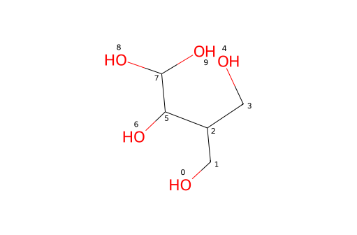 OCC(CO)C(O)C(O)O